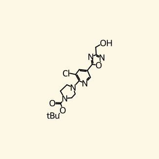 CC(C)(C)OC(=O)N1CCN(c2ncc(-c3nc(CO)no3)cc2Cl)CC1